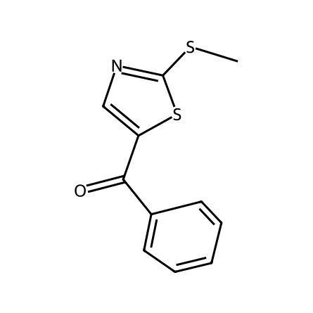 CSc1ncc(C(=O)c2ccccc2)s1